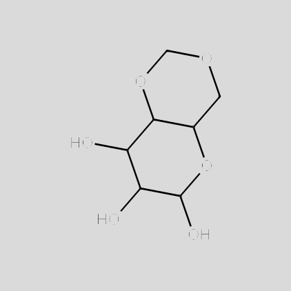 OC1OC2COCOC2C(O)C1O